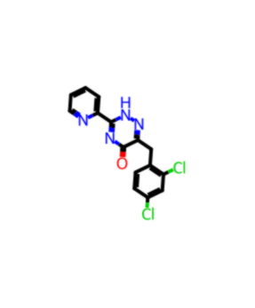 O=c1nc(-c2ccccn2)[nH]nc1Cc1ccc(Cl)cc1Cl